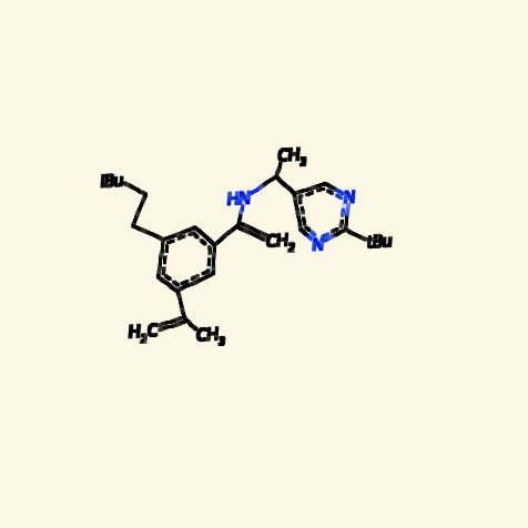 C=C(C)c1cc(CCC(C)CC)cc(C(=C)NC(C)c2cnc(C(C)(C)C)nc2)c1